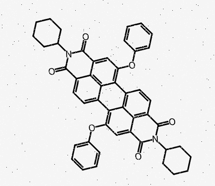 O=C1c2ccc3c4c(Oc5ccccc5)cc5c6c(ccc(c7c(Oc8ccccc8)cc(c2c37)C(=O)N1C1CCCCC1)c64)C(=O)N(C1CCCCC1)C5=O